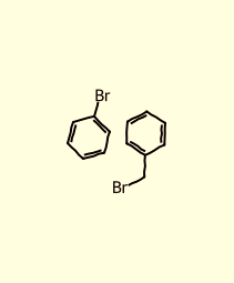 BrCc1ccccc1.Brc1ccccc1